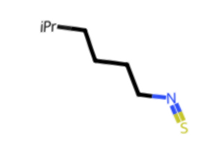 CC(C)CCCCN=S